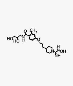 Cc1cc(OCCCC2CCN(C(=N)NO)CC2)ccc1C(=O)NCC(O)CO